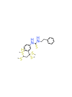 CSC1CC(SC)(SC)c2cc(NC(=S)NCCc3ccccc3)ccc2[SH]1C